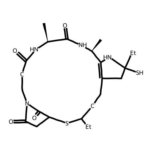 CCC1CCC2=C(NC(S)(CC)C2)[C@H](C)NC(=O)[C@H](C)NC(=O)CCN2C(=O)CC(S1)C2=O